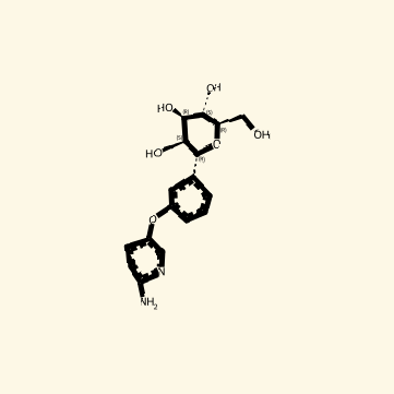 Nc1ccc(Oc2cccc([C@H]3O[C@H](CO)[C@@H](O)[C@H](O)[C@@H]3O)c2)cn1